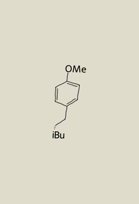 CC[C@@H](C)CCc1ccc(OC)cc1